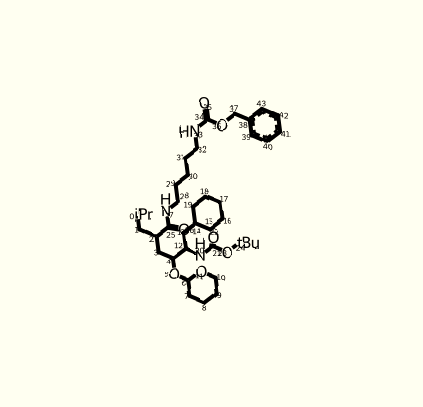 CC(C)CC(CC(OC1CCCCO1)C(CC1CCCCC1)NC(=O)OC(C)(C)C)C(=O)NCCCCCNC(=O)OCc1ccccc1